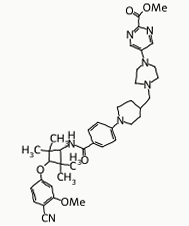 COC(=O)c1ncc(N2CCN(CC3CCN(c4ccc(C(=O)NC5C(C)(C)C(Oc6ccc(C#N)c(OC)c6)C5(C)C)cc4)CC3)CC2)cn1